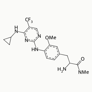 CNC(=O)C(N)Cc1ccc(Nc2ncc(C(F)(F)F)c(NC3CC3)n2)c(OC)c1